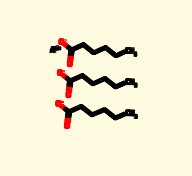 CCCCCC(=O)[O-].CCCCCC(=O)[O-].CCCCCC(=O)[O-].[Al+3]